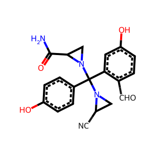 N#CC1CN1C(c1ccc(O)cc1)(c1cc(O)ccc1C=O)N1CC1C(N)=O